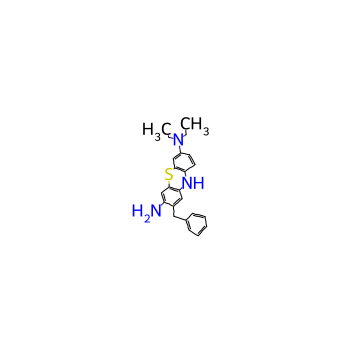 CCN(CC)c1ccc2c(c1)Sc1cc(N)c(Cc3ccccc3)cc1N2